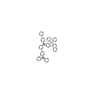 c1ccc(-c2ccc(N(c3cccc(-c4ccc5c(c4)c4ccccc4n5-c4ccccc4)c3)c3ccc4c(c3)C(c3ccccc3)(c3ccccc3)c3ccc5ccccc5c3-4)cc2)cc1